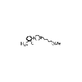 COCCCCCN1CCN(c2cccc(C)c2Cl)CC1